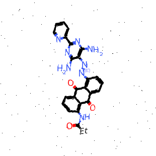 CCC(=O)Nc1cccc2c1C(=O)c1cccc(/N=N/c3c(N)nc(-c4ccccn4)nc3N)c1C2=O